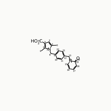 Cc1cc(C(=O)O)c(C)n1Cc1ccc(Cn2ccccc2=O)cc1